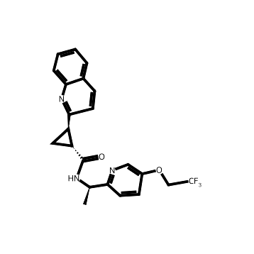 C[C@@H](NC(=O)[C@@H]1C[C@H]1c1ccc2ccccc2n1)c1ccc(OCC(F)(F)F)cn1